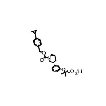 CC(C)(Oc1cccc([C@H]2CCCN(C(=O)OCc3ccc(C4CC4)cc3)C2)c1)C(=O)O